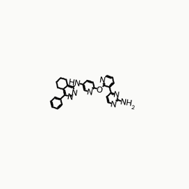 Nc1nccc(-c2cccnc2Oc2ccc(Nc3nnc(-c4ccccc4)c4c3CCCC4)cn2)n1